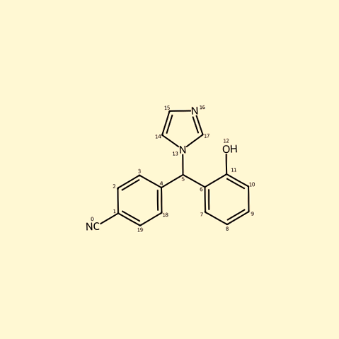 N#Cc1ccc(C(c2ccccc2O)n2ccnc2)cc1